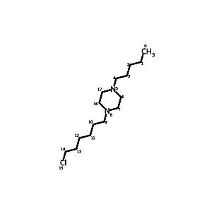 CCCCCN1CCN(CCCCCCCl)CC1